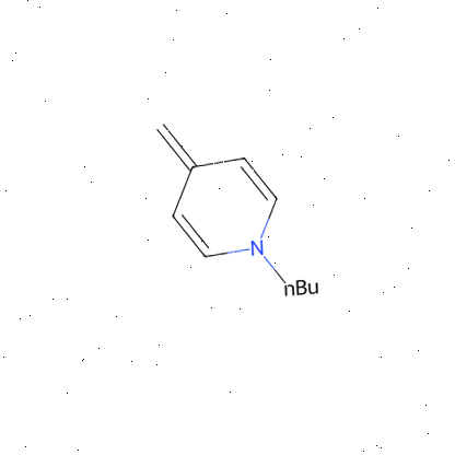 C=C1C=CN(CCCC)C=C1